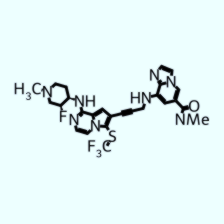 CNC(=O)c1cc(NCC#Cc2cc3c(N[C@@H]4CCN(C)C[C@@H]4F)nccn3c2SC(F)(F)F)c2nccn2c1